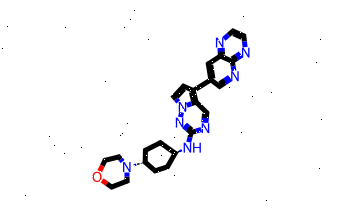 c1cnc2ncc(-c3ccn4nc(N[C@H]5CC[C@@H](N6CCOCC6)CC5)ncc34)cc2n1